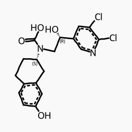 O=C(O)N(C[C@H](O)c1cnc(Cl)c(Cl)c1)[C@H]1CCc2ccc(O)cc2C1